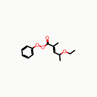 CCOC(C)C=C(C)C(=O)OOc1ccccc1